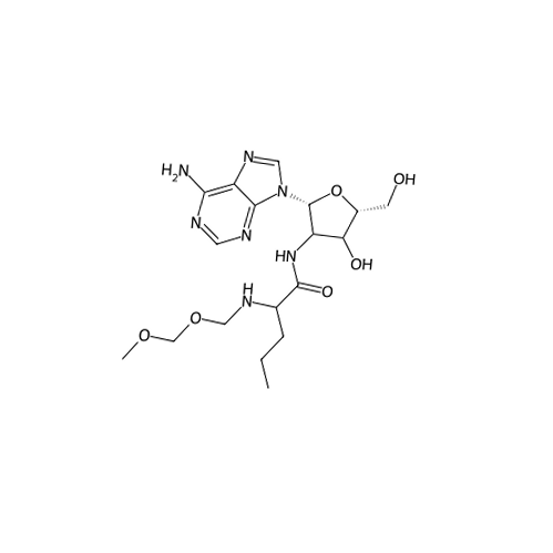 CCCC(NCOCOC)C(=O)NC1C(O)[C@@H](CO)O[C@H]1n1cnc2c(N)ncnc21